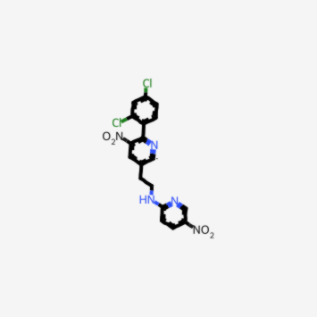 O=[N+]([O-])c1ccc(NCCc2[c]nc(-c3ccc(Cl)cc3Cl)c([N+](=O)[O-])c2)nc1